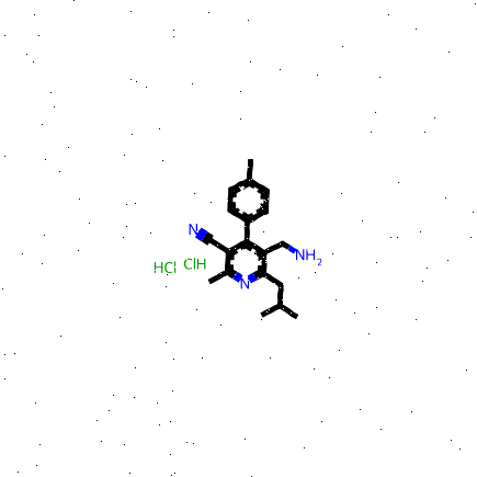 Cc1ccc(-c2c(C#N)c(C)nc(CC(C)C)c2CN)cc1.Cl.Cl